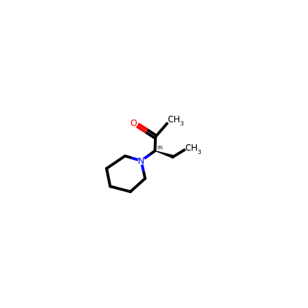 CC[C@H](C(C)=O)N1CCCCC1